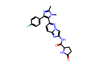 Cc1nc(-c2ccc(F)cc2)c(-c2ccc3nc(NC(=O)C4CCC(=O)N4)cn3n2)n1C